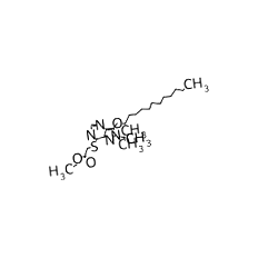 CCCCCCCCCCCCOc1c2ncnc(SCC(=O)OCC)c2nn1C(C)(C)C